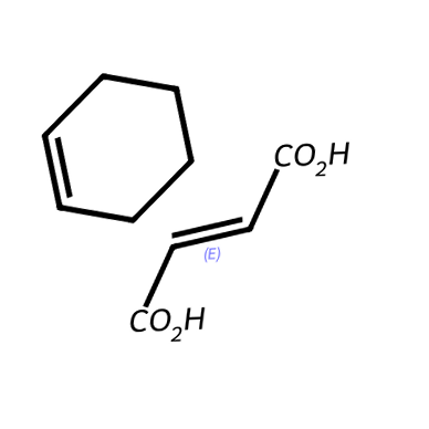 C1=CCCCC1.O=C(O)/C=C/C(=O)O